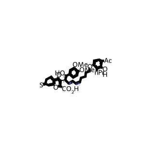 CCCc1c(OCCCC/C=C\C=C\[C@@H](c2c(C(=O)O)oc3c(c2=O)=CCC(=S)C=3)[C@@H](O)c2ccc(OC)c(OC)c2)ccc(C(C)=O)c1O